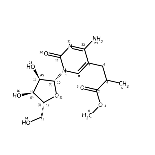 COC(=O)C(C)Cc1cn([C@@H]2O[C@H](CO)[C@@H](O)[C@H]2O)c(=O)nc1N